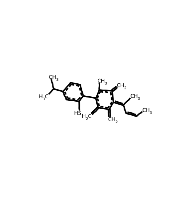 C=c1c(-c2ccc(C(C)C)cc2S)c(C)c(=C)/c(=C(C)/C=C\C)c1=C